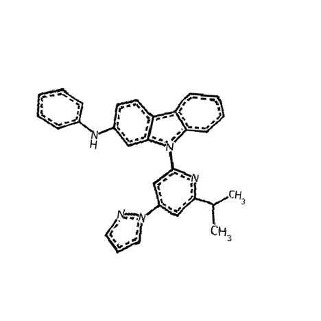 CC(C)c1cc(-n2cccn2)cc(-n2c3ccccc3c3ccc(Nc4ccccc4)cc32)n1